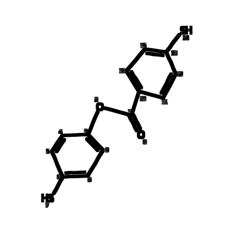 O=C(Oc1ccc(S)cc1)c1ccc(S)cc1